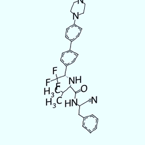 CC(C)[C@H](N[C@@H](c1ccc(-c2ccc(N3CCNCC3)cc2)cc1)C(F)(F)F)C(=O)NC(C#N)Cc1ccccc1